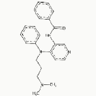 CN(C)CCCN(c1ccccc1)c1ccncc1NC(=O)c1ccccc1